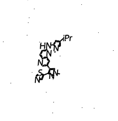 CC(C)c1cc(Nc2ccc3ncc(-c4cn(C)nc4-c4cncs4)cc3n2)n(C)c1